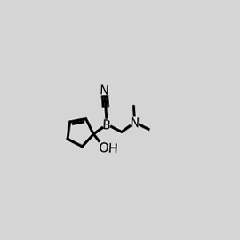 CN(C)CB(C#N)C1(O)C=CCC1